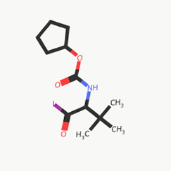 CC(C)(C)C(NC(=O)OC1CCCC1)C(=O)I